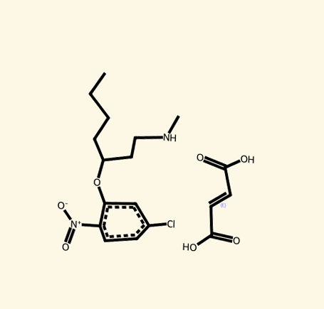 CCCCC(CCNC)Oc1cc(Cl)ccc1[N+](=O)[O-].O=C(O)/C=C/C(=O)O